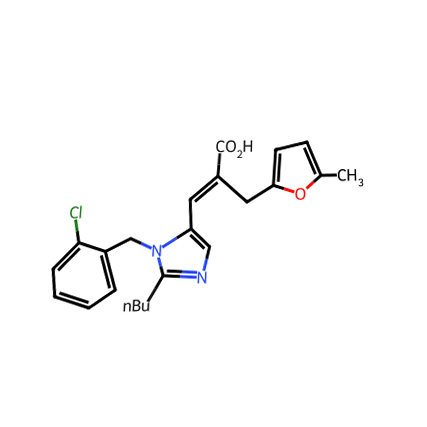 CCCCc1ncc(/C=C(\Cc2ccc(C)o2)C(=O)O)n1Cc1ccccc1Cl